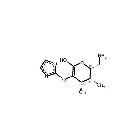 C[C@@H]1[C@H](O)C(Oc2ncco2)=C(O)O[C@@H]1CN